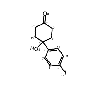 O=C1CCC(O)(c2ccc(I)cc2)CC1